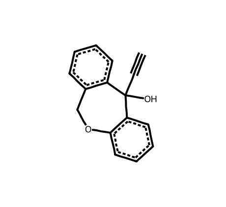 C#CC1(O)c2ccccc2COc2ccccc21